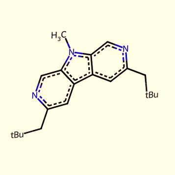 Cn1c2cnc(CC(C)(C)C)cc2c2cc(CC(C)(C)C)ncc21